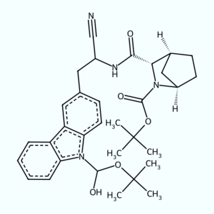 CC(C)(C)OC(=O)N1[C@@H]2CC[C@@H](C2)[C@H]1C(=O)NC(C#N)Cc1ccc2c(c1)c1ccccc1n2C(O)OC(C)(C)C